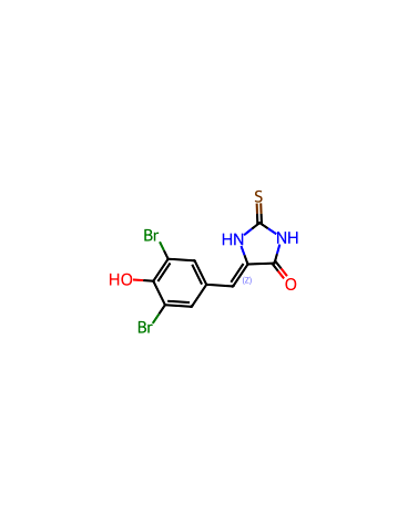 O=C1NC(=S)N/C1=C\c1cc(Br)c(O)c(Br)c1